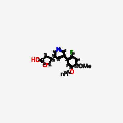 CCCOc1cc(-c2cncc([C@@H]3COB(O)C3)c2)c(F)cc1OC